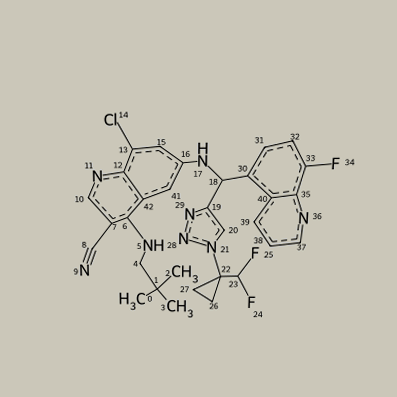 CC(C)(C)CNc1c(C#N)cnc2c(Cl)cc(NC(c3cn(C4(C(F)F)CC4)nn3)c3ccc(F)c4ncccc34)cc12